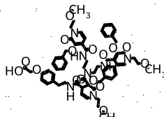 COCCN1C=CC(C(=O)NCCc2ccc(OCC(=O)O)cc2)C(OCc2ccccc2)(C(=O)N(CCNC(=O)c2ccn(CCOC)c(=O)c2OCc2ccccc2)CCNC(=O)c2ccn(CCOC)c(=O)c2OCc2ccccc2)C1=O